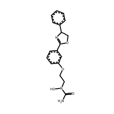 NC(=O)N(O)CCOc1cccc(C2=NC(c3ccccc3)CO2)c1